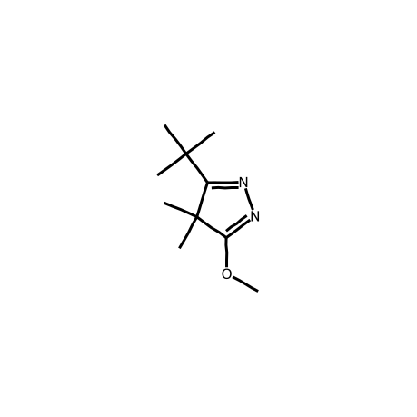 COC1=NN=C(C(C)(C)C)C1(C)C